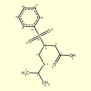 CC(C)SCN(CC(=O)O)S(=O)(=O)c1cccnc1